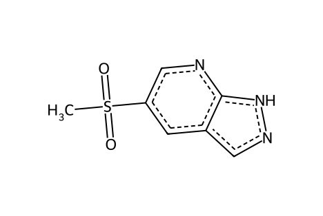 CS(=O)(=O)c1cnc2[nH]ncc2c1